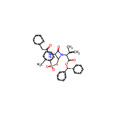 C=C(C)C(C(=O)OC(c1ccccc1)c1ccccc1)N1C(=O)C(NC(=O)Cc2ccccc2)C1SS(=O)(=O)c1ccccc1C